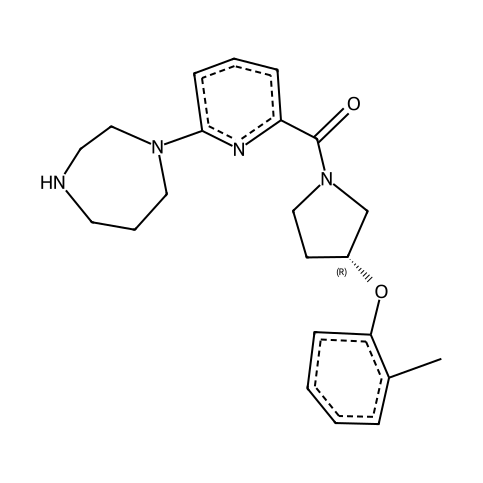 Cc1ccccc1O[C@@H]1CCN(C(=O)c2cccc(N3CCCNCC3)n2)C1